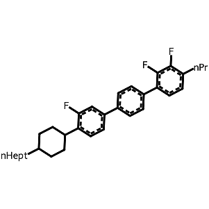 CCCCCCCC1CCC(c2ccc(-c3ccc(-c4ccc(CCC)c(F)c4F)cc3)cc2F)CC1